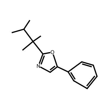 CC(C)C(C)(C)c1ncc(-c2ccccc2)o1